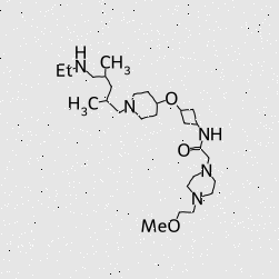 CCNCC(C)CC(C)CN1CCC(OC2CC(NC(=O)CN3CCN(CCOC)CC3)C2)CC1